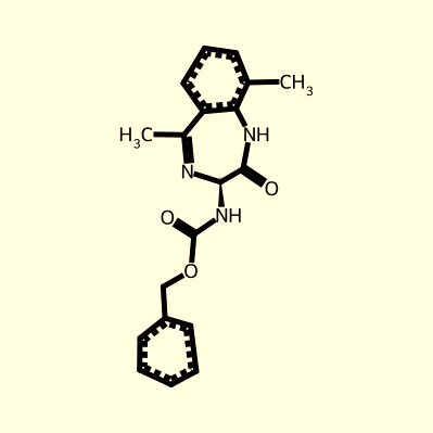 CC1=N[C@H](NC(=O)OCc2ccccc2)C(=O)Nc2c(C)cccc21